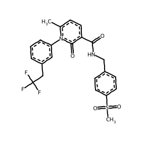 Cc1ccc(C(=O)NCc2ccc(S(C)(=O)=O)cc2)c(=O)n1-c1cccc(CC(F)(F)F)c1